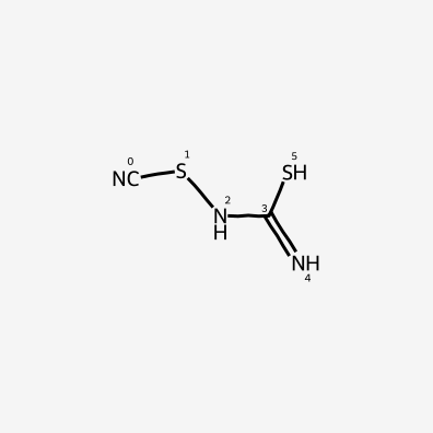 N#CSNC(=N)S